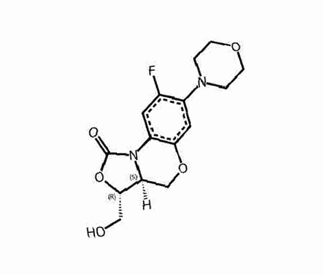 O=C1O[C@@H](CO)[C@@H]2COc3cc(N4CCOCC4)c(F)cc3N12